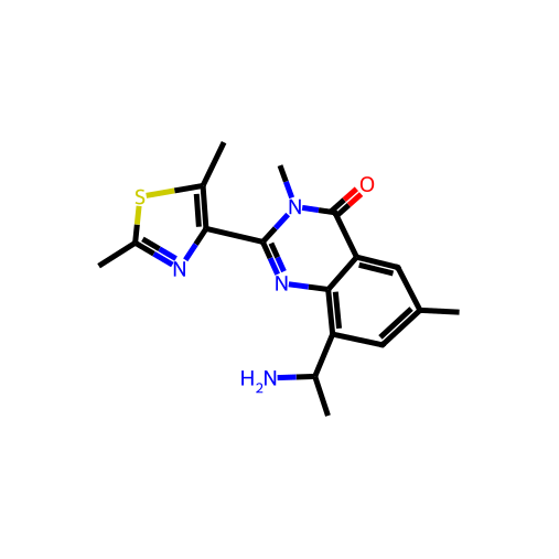 Cc1cc(C(C)N)c2nc(-c3nc(C)sc3C)n(C)c(=O)c2c1